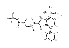 C[C@H]1CN(C(=O)OC(C)(C)C)CCN1c1nc2c(C(F)(F)F)c(F)cc(-c3ccccn3)c2o1